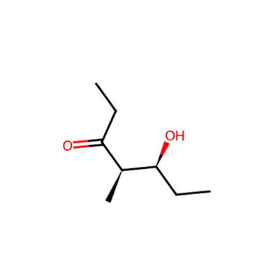 CCC(=O)[C@H](C)[C@@H](O)CC